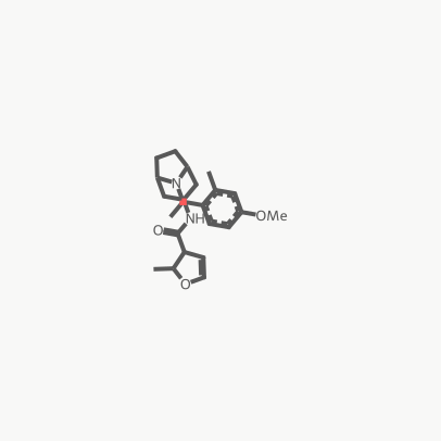 COc1ccc(C(C)N2C3CCC2CC(NC(=O)C2C=COC2C)C3)c(C)c1